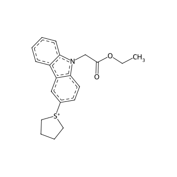 CCOC(=O)Cn1c2ccccc2c2cc([S+]3CCCC3)ccc21